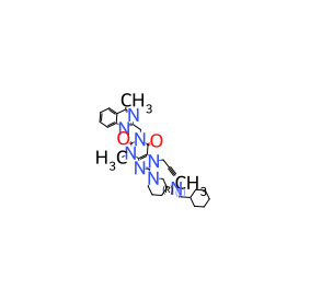 CC#CCn1c(N2CCC[C@@H](/N=C/C3CCCCC3)C2)nc2c1c(=O)n(Cc1nc(C)c3ccccc3n1)c(=O)n2C